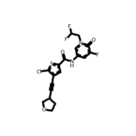 O=C(Nc1cc(F)c(=O)n(CC(F)F)c1)c1cc(C#CC2CCOC2)c(Cl)s1